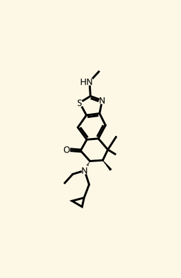 CCN(CC1CC1)[C@@H]1C(=O)c2cc3sc(NC)nc3cc2C(C)(C)[C@H]1C